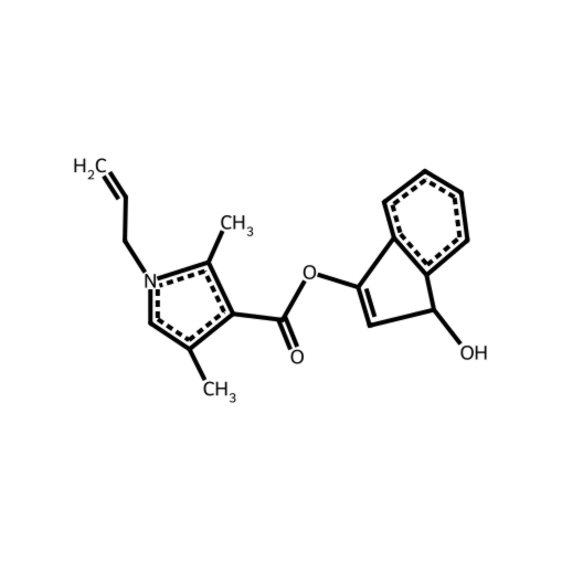 C=CCn1cc(C)c(C(=O)OC2=CC(O)c3ccccc32)c1C